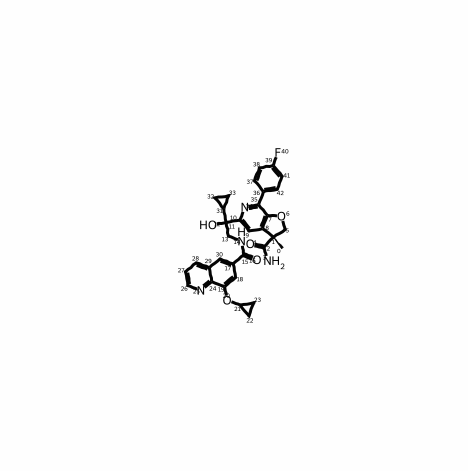 C[C@]1(C(N)=O)COc2c1cc(C(O)(CNC(=O)c1cc(OC3CC3)c3ncccc3c1)C1CC1)nc2-c1ccc(F)cc1